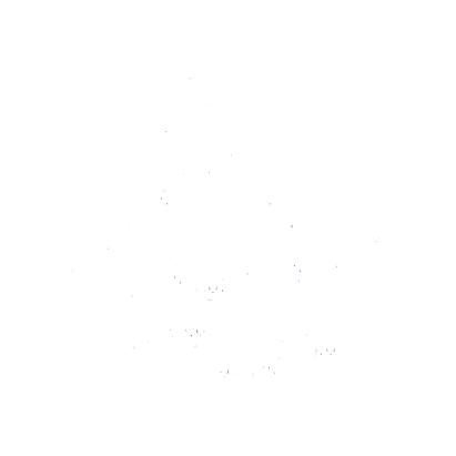 CNC(=O)/C(=N/OC)c1ccccc1/C=N/OC(C)c1cccc(C(F)(F)F)c1.CNC(=O)C(=NOC)c1ccccc1CO/N=C(\C)c1cccc(C(F)(F)F)c1